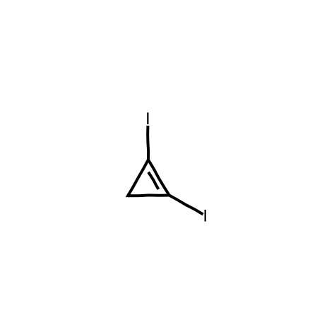 IC1=C(I)C1